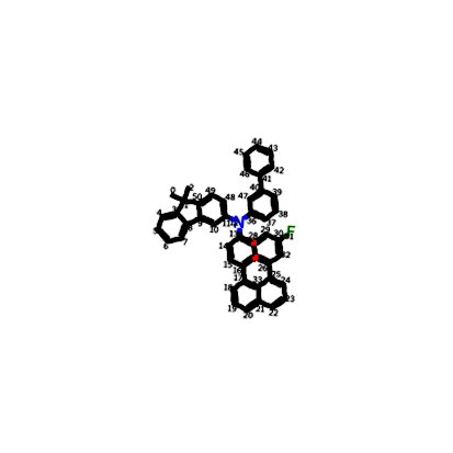 CC1(C)c2ccccc2-c2cc(N(c3ccc(-c4cccc5cccc(-c6cccc(F)c6)c45)cc3)c3cccc(-c4ccccc4)c3)ccc21